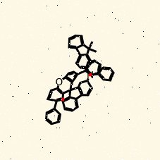 CC1(C)c2ccccc2-c2ccc(N(c3ccccc3)C3C=CC4=C(C3)C3(c5cc(-c6ccccc6)ccc5Oc5ccc(-c6ccccc6)cc53)c3ccccc34)cc21